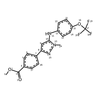 COC(=O)c1ccc(-c2cc(Nc3ccc(OC(F)(F)F)cc3)n(C)n2)cc1